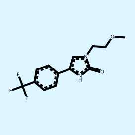 COCCn1cc(-c2ccc(C(F)(F)F)cc2)[nH]c1=O